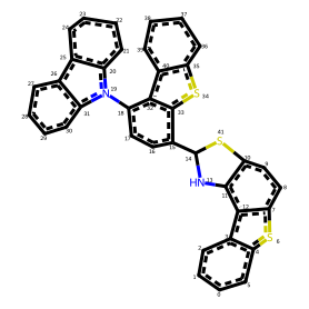 c1ccc2c(c1)sc1ccc3c(c12)NC(c1ccc(-n2c4ccccc4c4ccccc42)c2c1sc1ccccc12)S3